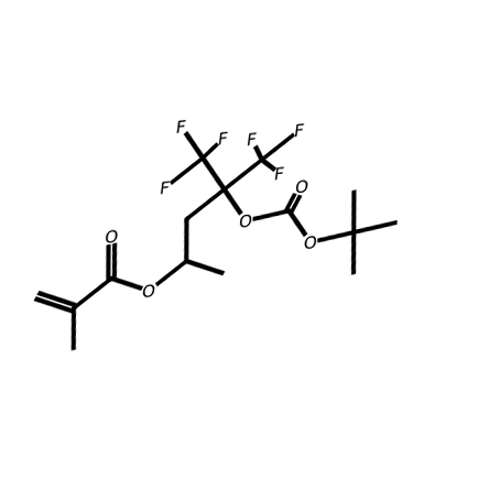 C=C(C)C(=O)OC(C)CC(OC(=O)OC(C)(C)C)(C(F)(F)F)C(F)(F)F